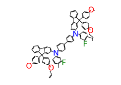 C=CCOc1ccc(C2(c3ccc(OC)cc3)c3ccccc3-c3ccc(N(c4ccc(-c5ccc(N(c6ccc(C)c(F)c6)c6ccc7c(c6)C(c6ccc(OC)cc6)(c6ccc(OCC=C)cc6)c6ccccc6-7)cc5)cc4)c4ccc(C)c(F)c4)cc32)cc1